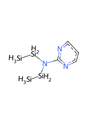 [SiH3][SiH2]N([SiH2][SiH3])c1ncccn1